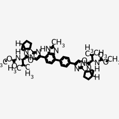 COC(=O)N[C@H](C(=O)N1C[C@@H]2CC[C@@]1(c1nc(-c3ccc(-c4ccc(-c5c[nH]c([C@@]67CC[C@@H](CN6C(=O)[C@@H](NC(=O)OC)C(C)C)C7)n5)c5[nH]c(C)nc45)cc3)c[nH]1)C2)C(C)C